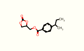 CCC(C)c1ccc(C(=O)OCC2COC(=O)O2)cc1